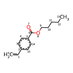 C=Cc1ccc(C(=O)OCCCCC)cc1